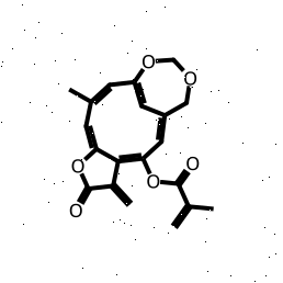 C=C(C)C(=O)Oc1cc2cc(cc(C)cc3c1C(=C)C(=O)O3)OCOC2